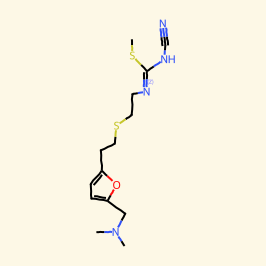 CS/C(=N\CCSCCc1ccc(CN(C)C)o1)NC#N